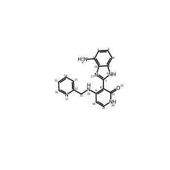 Nc1cccc2[nH]c(-c3c(NCc4ccccn4)cc[nH]c3=O)nc12